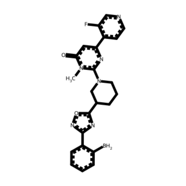 Bc1ccccc1-c1noc(C2CCCN(c3nc(-c4ccncc4F)cc(=O)n3C)C2)n1